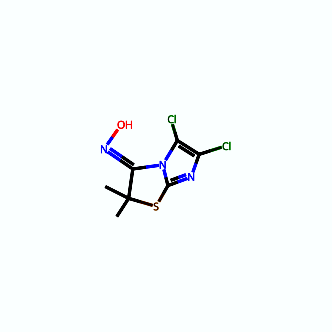 CC1(C)Sc2nc(Cl)c(Cl)n2C1=NO